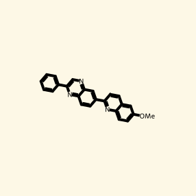 COc1ccc2nc(-c3ccc4nc(-c5ccccc5)cnc4c3)[c]cc2c1